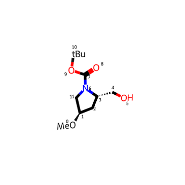 CO[C@@H]1C[C@@H](CO)N(C(=O)OC(C)(C)C)C1